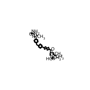 Cc1nc(C(N)=O)nn1-c1ccc(Cc2ccc(C3CC4(CC(C(=O)N5CCN(C(=O)O)C(C(C)(C)C)C5)C4)C3)cc2)cc1